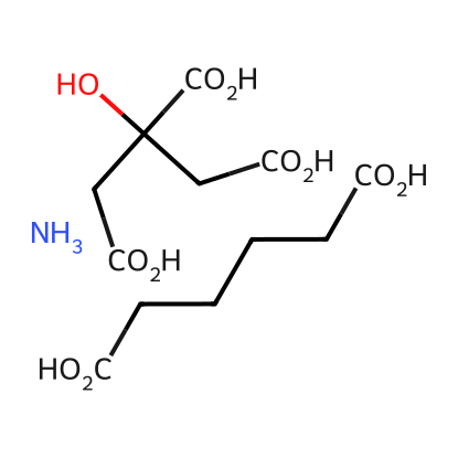 N.O=C(O)CC(O)(CC(=O)O)C(=O)O.O=C(O)CCCCC(=O)O